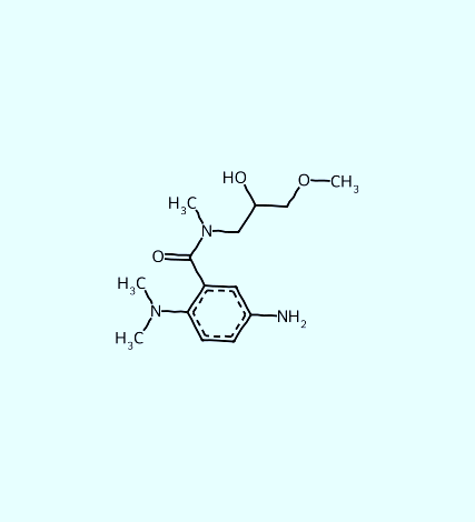 COCC(O)CN(C)C(=O)c1cc(N)ccc1N(C)C